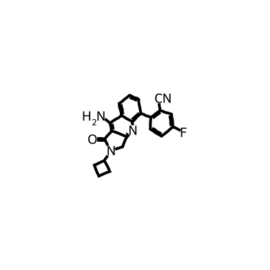 N#Cc1cc(F)ccc1-c1cccc2c(N)c3c(nc12)CN(C1CCC1)C3=O